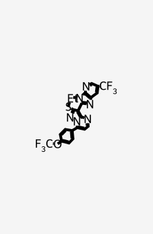 CCSc1nn2c(-c3ccc(OC(F)(F)F)cc3)ccnc2c1-c1nc2cc(C(F)(F)F)cnc2n1C